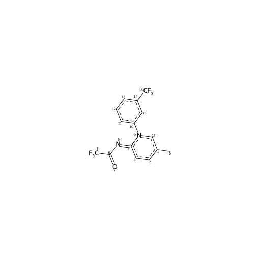 Cc1ccc(=NC(=O)C(F)(F)F)n(-c2cccc(C(F)(F)F)c2)c1